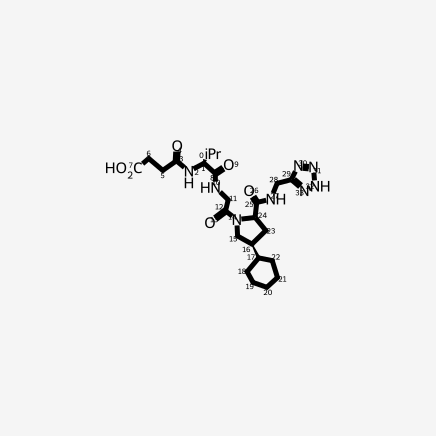 CC(C)[C@H](NC(=O)CCC(=O)O)C(=O)NCC(=O)N1C[C@H](C2CCCCC2)CC1C(=O)NCc1nn[nH]n1